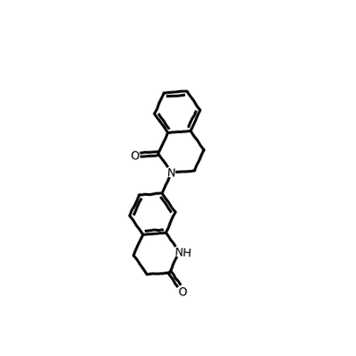 O=C1CCc2ccc(N3CCc4ccccc4C3=O)cc2N1